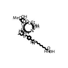 CC[C@H]1OC(=O)[C@H](C)[C@@H](O[C@H]2C[C@@](C)(OC)[C@@H](O)[C@H](C)O2)[C@H](C)[C@@H](O[C@@H]2O[C@H](C)C[C@H](N(C)Cc3ccc(-c4cn(CCCCCCCCC(=O)NO)nn4)cc3)[C@H]2O)[C@](C)(O)C[C@@H](C)CN(C)[C@H](C)[C@@H](O)[C@]1(C)O